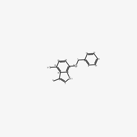 Cc1csc2c(OCc3ccccc3)c[c]c(I)c12